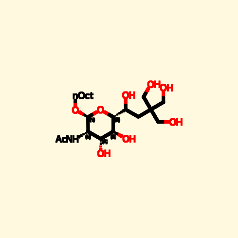 CCCCCCCCO[C@H]1O[C@H](C(O)CC(CO)(CO)CO)[C@@H](O)[C@H](O)[C@@H]1NC(C)=O